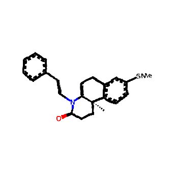 CSc1ccc2c(c1)CC=C1N(CCc3ccccc3)C(=O)CC[C@@]12C